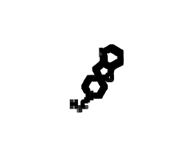 CN1CCC2(CC1)Cc1ncccc1O2